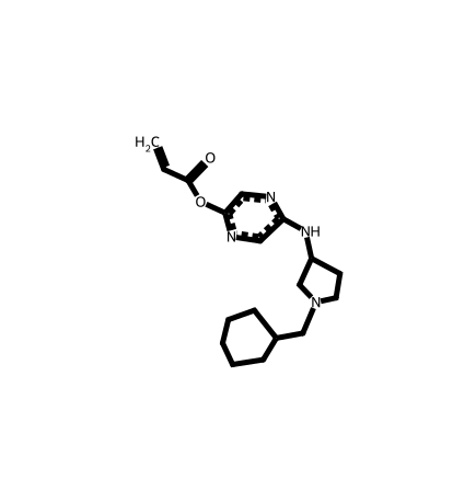 C=CC(=O)Oc1cnc(NC2CCN(CC3CCCCC3)C2)cn1